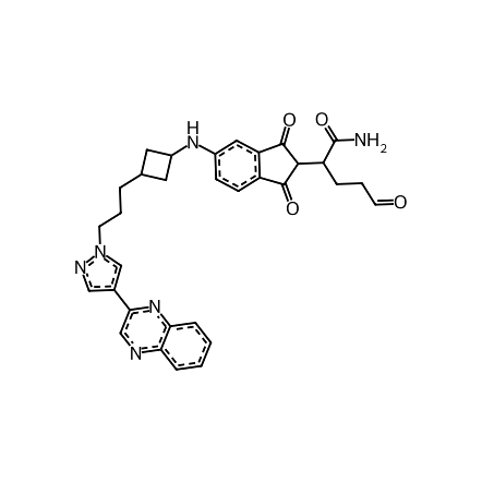 NC(=O)C(CCC=O)C1C(=O)c2ccc(NC3CC(CCCn4cc(-c5cnc6ccccc6n5)cn4)C3)cc2C1=O